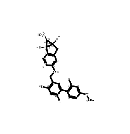 CCCCOc1ccc(-c2cc(COc3cc4c(cn3)[C@H]3[C@@H](C4)[C@@H]3C(=O)O)c(F)cc2C)c(C)c1